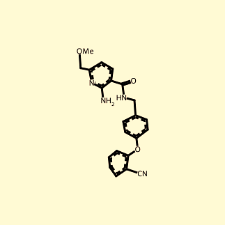 COCc1ccc(C(=O)NCc2ccc(Oc3ccccc3C#N)cc2)c(N)n1